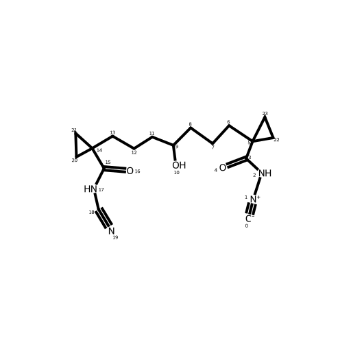 [C-]#[N+]NC(=O)C1(CCCC(O)CCCC2(C(=O)NC#N)CC2)CC1